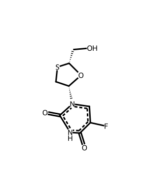 O=c1[nH]c(=O)n([C@@H]2CS[C@H](CO)O2)cc1F